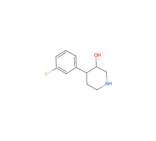 OC1CNCCC1c1cccc(F)c1